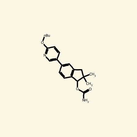 CCCCOc1ccc(-c2ccc3c(c2)CC(C)(C)C3OC(N)=O)cn1